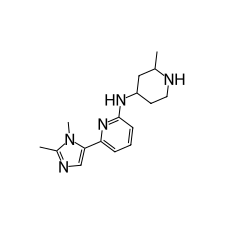 Cc1ncc(-c2cccc(NC3CCNC(C)C3)n2)n1C